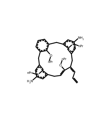 C=C/C=C1Cc2cc(N)cc(c2OCCC)Cc2cccc(c2OCCC)Cc2cc(N)cc(c2OCCC)C/C=C/1OCCC